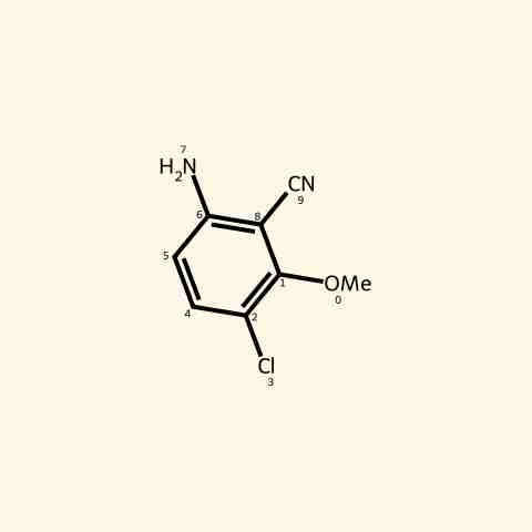 COc1c(Cl)ccc(N)c1C#N